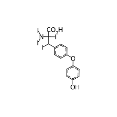 O=C(O)C(I)(C(I)c1ccc(Oc2ccc(O)cc2)cc1)N(I)I